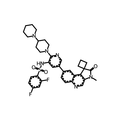 CN1C(=O)C2(CCC2)c2c1cnc1ccc(-c3cnc(N4CCC(N5CCCCC5)CC4)c(NS(=O)(=O)c4ccc(F)cc4F)c3)cc21